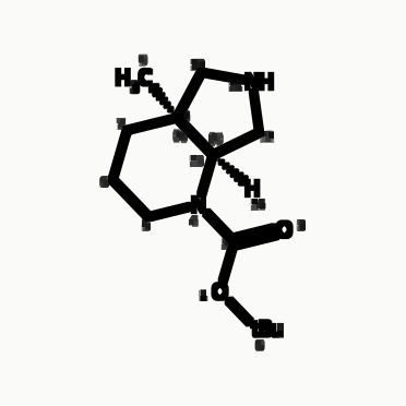 CC(C)(C)OC(=O)N1CCC[C@@]2(C)CNC[C@@H]12